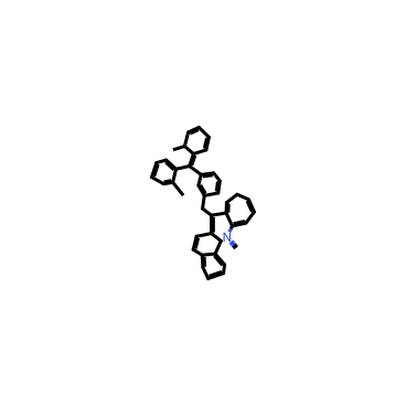 C=NC1=CC=CCC=C1/C(Cc1cccc(/C(=C2\C=CC=CC2C)c2ccccc2C)c1)=C1/C=Cc2ccccc2C1